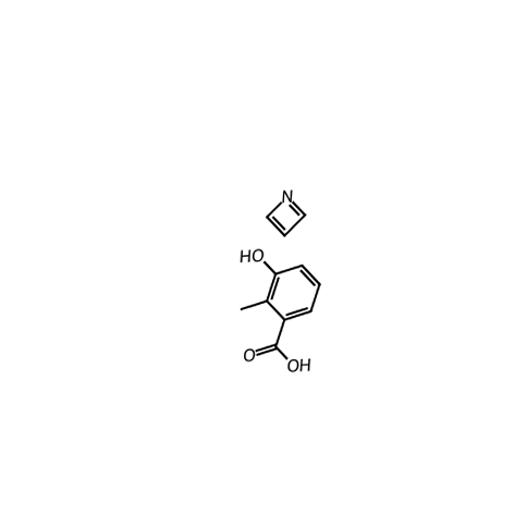 C1=CN=C1.Cc1c(O)cccc1C(=O)O